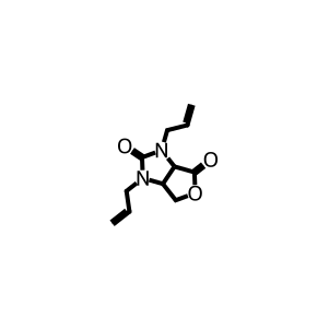 C=CCN1C(=O)N(CC=C)C2C(=O)OCC21